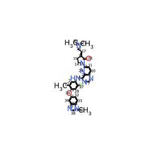 Cc1cc(Nc2ncnc3ccc(N4CC/C(=C\CN(C)C)C4=O)nc23)c(F)cc1Oc1ccc2c(c1)ncn2C